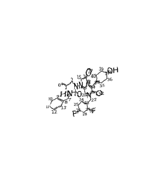 C=CCN(C(=O)NCC1=CCCC=C1)N1CC(=O)N2C1CN(CC1=CCC(F)CC1F)C(=O)[C@@H]2C1CCC(O)CC1